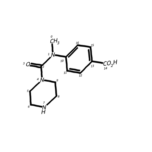 CN(C(=O)N1CCNCC1)c1ccc(C(=O)O)cc1